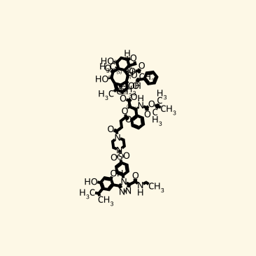 CCNC(=O)c1nnc(-c2cc(C(C)C)c(O)cc2O)n1-c1ccc(S(=O)(=O)N2CCN(C(=O)CCC(=O)O[C@@H](C(=O)O[C@H]3CC4(O)[C@@H](OC(=O)c5ccccc5)[C@@H]5[C@]6(OC(C)=O)CO[C@@H]6C[C@H](O)[C@@]5(C)C(=O)[C@H](O)C(=C3C)C4(C)C)[C@@H](NC(=O)OC(C)(C)C)c3ccccc3)CC2)cc1